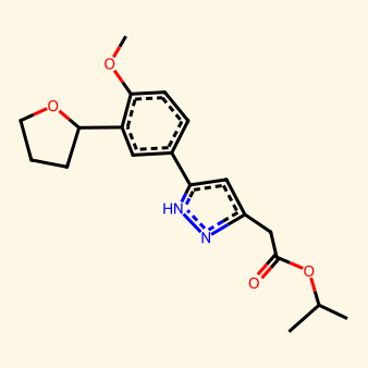 COc1ccc(-c2cc(CC(=O)OC(C)C)n[nH]2)cc1C1CCCO1